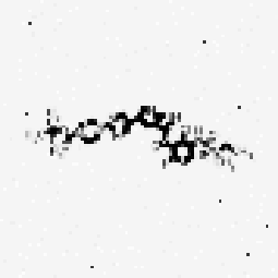 CCN(C)S(=O)(=O)Nc1ccc(F)c(C(=O)c2c[nH]c3ncc(-c4cnc(N5CCN(C(=O)OC(C)(C)C)CC5)nc4)cc23)c1Cl